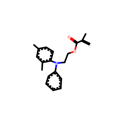 C=C(C)C(=O)OCCN(c1ccccc1)c1ccc(C)cc1C